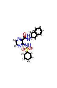 O=C(NC1Cc2ccccc2C1)C1=NCCN=C1NS(=O)(=O)C1CCCCC1